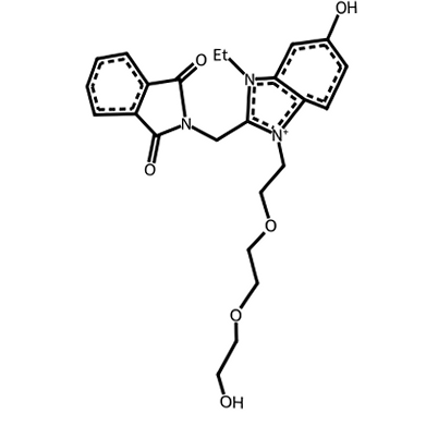 CCn1c(CN2C(=O)c3ccccc3C2=O)[n+](CCOCCOCCO)c2ccc(O)cc21